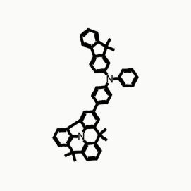 CC1(C)c2ccccc2-c2ccc(N(c3ccccc3)c3ccc(-c4cc5c6c(c4)c4cccc7c4n6-c4c(cccc4C5(C)C)C7(C)C)cc3)cc21